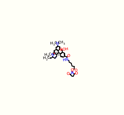 C=CC(/C=C\C1C=Cc2cc(N(C)C)ccc2C1c1ccc(C(=O)NCCCCCC(=O)ON2C(=O)CCC2=O)cc1C(=O)O)=[N+](C)C